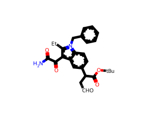 CCc1c(C(=O)C(N)=O)c2cc(C(CC=O)C(=O)OC(C)(C)C)ccc2n1Cc1ccccc1